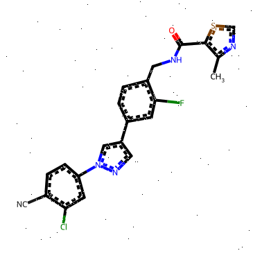 Cc1ncsc1C(=O)NCc1ccc(-c2cnn(-c3ccc(C#N)c(Cl)c3)c2)cc1F